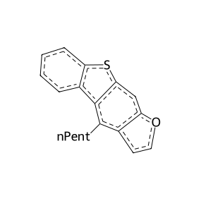 CCCCCc1c2ccoc2cc2sc3ccccc3c12